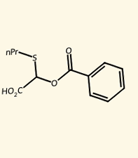 CCCSC(OC(=O)c1ccccc1)C(=O)O